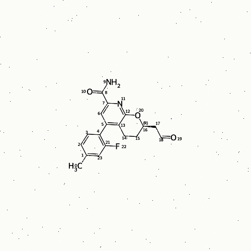 Cc1ccc(-c2cc(C(N)=O)nc3c2CC[C@H](CC=O)O3)c(F)c1